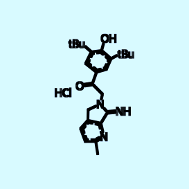 Cc1ccc2c(n1)C(=N)N(CC(=O)c1cc(C(C)(C)C)c(O)c(C(C)(C)C)c1)C2.Cl